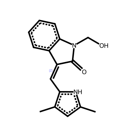 Cc1cc(C)c(/C=C2\C(=O)N(CO)c3ccccc32)[nH]1